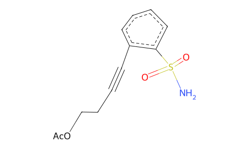 CC(=O)OCCC#Cc1ccccc1S(N)(=O)=O